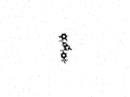 Cc1nc(Nc2ccc(S(C)(=O)=O)cc2)c2nc(Nc3c(C)cccc3C)sc2n1